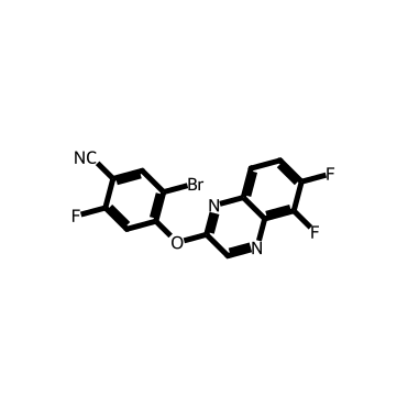 N#Cc1cc(Br)c(Oc2cnc3c(F)c(F)ccc3n2)cc1F